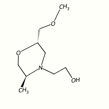 COC[C@@H]1CN(CCO)[C@@H](C)CO1